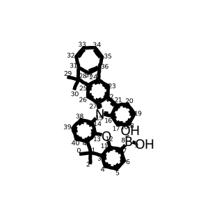 CC1(C)c2cccc(B(O)O)c2Oc2c(-n3c4ccccc4c4cc5c(cc43)C(C)(C)C3C=CC=CC5=C3)cccc21